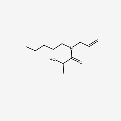 C=CCN(CCCCC)C(=O)C(C)O